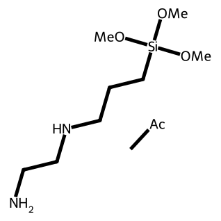 CC(C)=O.CO[Si](CCCNCCN)(OC)OC